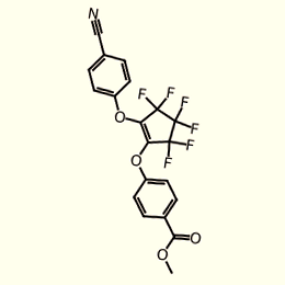 COC(=O)c1ccc(OC2=C(Oc3ccc(C#N)cc3)C(F)(F)C(F)(F)C2(F)F)cc1